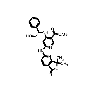 COC(=O)c1cnc(Nc2ccc3c(n2)C(C)(C)OC3=O)cc1N[C@H](CO)c1ccccc1